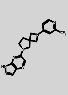 FC(F)(F)c1cc(N2CC3(CCN(c4cnc5cn[nH]c5n4)C3)C2)ccn1